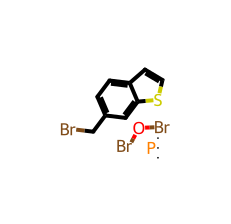 BrCc1ccc2ccsc2c1.BrOBr.[P]